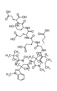 C/C(=C\[C@H](C(C)C)N(C)C(=O)[C@@H](NC(=O)[C@@H](N(C)C(=O)OC(C)(C)C)C(C)(C)c1cn(C)c2ccccc12)C(C)(C)C)C(=O)N[C@@H](CCCC(=O)O)C(=O)N[C@@H](CCC(=O)O)C(=O)N[C@@H](CCC(=O)O)C(=O)N[C@@H](CCC(=O)O)C(=O)N[C@@H](CCC(=O)O)C(=O)O